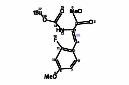 COC(=O)/C(=C/c1ccc(OC)cc1F)NC(=O)OC(C)(C)C